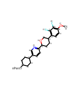 CCCCCC1CCC(c2ccc(C3CCC(c4ccc(OCC)c(F)c4F)CO3)nc2)CC1